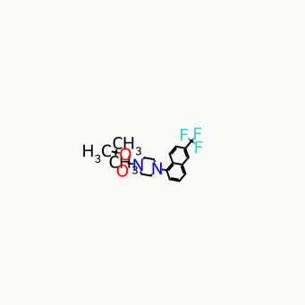 CC(C)(C)OC(=O)N1CCN(c2cccc3cc(C(F)(F)F)ccc23)CC1